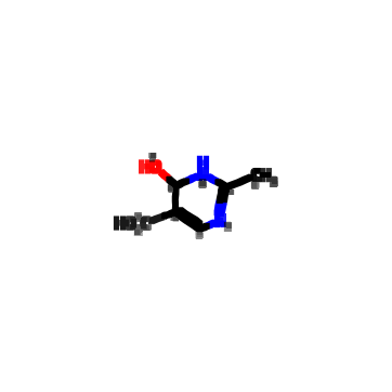 CC1=NC=C(C(=O)O)C(O)N1